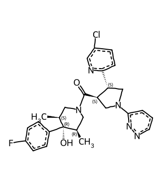 C[C@@H]1CN(C(=O)[C@@H]2CN(c3cccnn3)C[C@H]2c2ccc(Cl)cn2)C[C@H](C)[C@]1(O)c1ccc(F)cc1